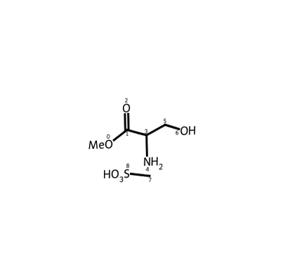 COC(=O)C(N)CO.CS(=O)(=O)O